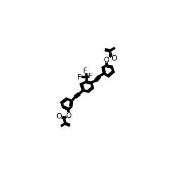 C=C(C)C(=O)Oc1cccc(C#Cc2ccc(C#Cc3cccc(OC(=O)C(=C)C)c3)c(C(F)(F)F)c2)c1